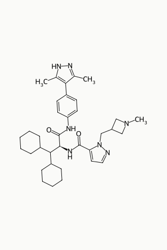 Cc1n[nH]c(C)c1-c1ccc(NC(=O)[C@@H](NC(=O)c2ccnn2CC2CN(C)C2)C(C2CCCCC2)C2CCCCC2)cc1